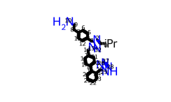 CC(C)c1nc(-c2ccc(CCN)cc2)n(Cc2ccc(-c3ccccc3-c3nnn[nH]3)cc2)n1